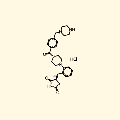 Cl.O=C1NC(=O)/C(=C/c2ccccc2N2CCN(C(=O)c3ccc(CN4CCNCC4)cc3)CC2)S1